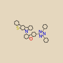 c1ccc(-c2nc(-c3ccccc3)nc(-c3ccc4c(c3)oc3cccc(-n5c6ccccc6c6cc7c(cc65)sc5ccccc57)c34)n2)cc1